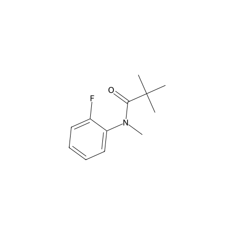 CN(C(=O)C(C)(C)C)c1ccccc1F